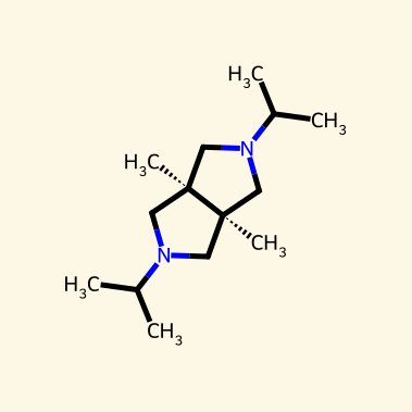 CC(C)N1C[C@]2(C)CN(C(C)C)C[C@]2(C)C1